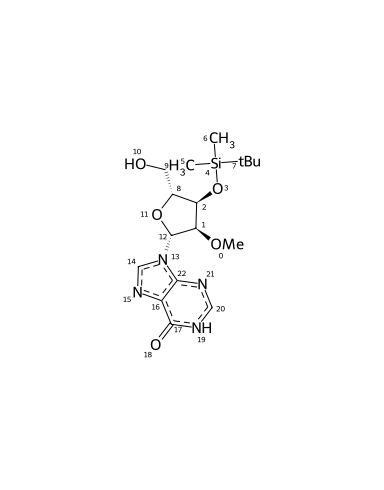 CO[C@@H]1[C@H](O[Si](C)(C)C(C)(C)C)[C@@H](CO)O[C@H]1n1cnc2c(=O)[nH]cnc21